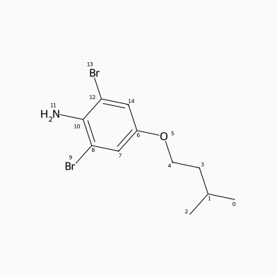 CC(C)CCOc1cc(Br)c(N)c(Br)c1